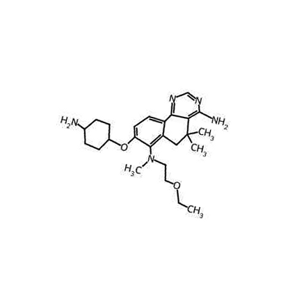 CCOCCN(C)c1c(OC2CCC(N)CC2)ccc2c1CC(C)(C)c1c(N)ncnc1-2